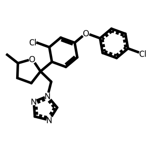 CC1CCC(Cn2cncn2)(C2C=CC(Oc3ccc(Cl)cc3)=CC2Cl)O1